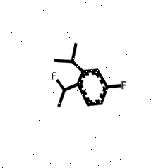 CC(C)c1cc(F)ccc1C(C)F